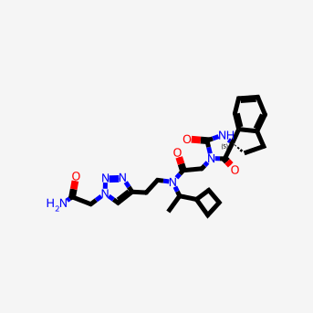 CC(C1CCC1)N(CCc1cn(CC(N)=O)nn1)C(=O)CN1C(=O)N[C@]2(CCc3ccccc32)C1=O